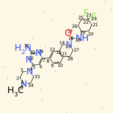 CN1CCN(c2cc(-c3ccc4c(c3)CN(C(=O)NC3CCC(F)(F)CC3)CC4)nc(N)n2)CC1